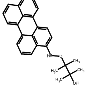 CC(C)(O)C(C)(C)OBc1ccc2c3cccc4cccc(c5cccc1c52)c43